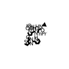 CCC[C@H](NC(=O)C1CC(Oc2nc(-c3ccccn3)nc3ccsc23)CN1C(=O)OC(C)(C)C)C(O)C(=O)NC1CC1